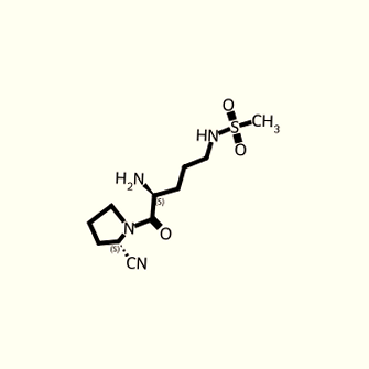 CS(=O)(=O)NCCC[C@H](N)C(=O)N1CCC[C@H]1C#N